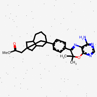 COC(=O)CC12CC3CCCC(c4ccc(C5=Nc6c(N)ncnc6OC5(C)C)cc4)(CC3C1)C2